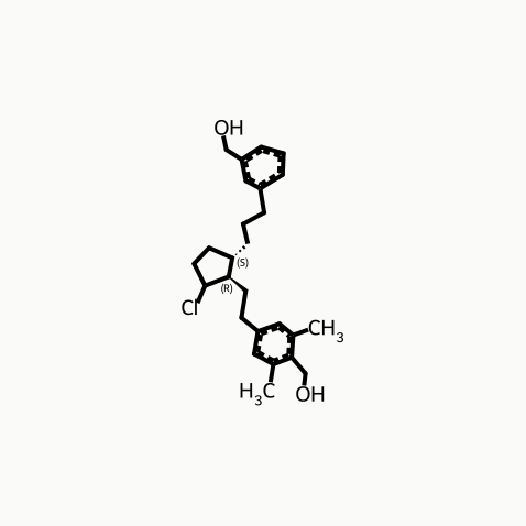 Cc1cc(CC[C@H]2C(Cl)CC[C@@H]2CCCc2cccc(CO)c2)cc(C)c1CO